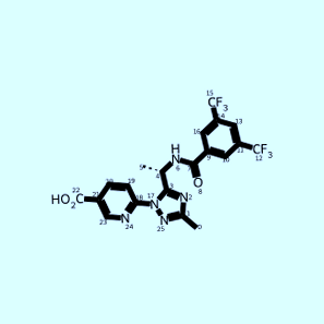 Cc1nc([C@H](C)NC(=O)c2cc(C(F)(F)F)cc(C(F)(F)F)c2)n(-c2ccc(C(=O)O)cn2)n1